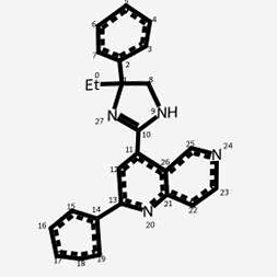 CCC1(c2ccccc2)CNC(c2cc(-c3ccccc3)nc3ccncc23)=N1